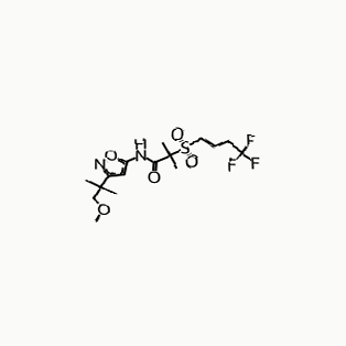 COCC(C)(C)c1cc(NC(=O)C(C)(C)S(=O)(=O)CCCC(F)(F)F)on1